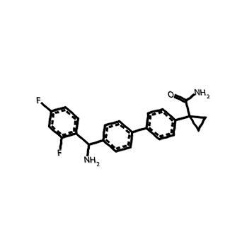 NC(=O)C1(c2ccc(-c3ccc(C(N)c4ccc(F)cc4F)cc3)cc2)CC1